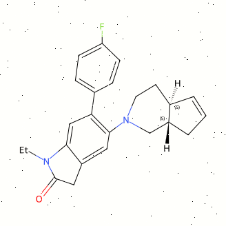 CCN1C(=O)Cc2cc(N3CC[C@H]4C=CC[C@@H]4C3)c(-c3ccc(F)cc3)cc21